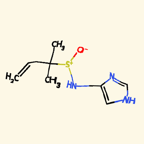 C=CC(C)(C)[S+]([O-])Nc1c[nH]cn1